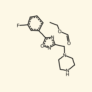 CCOC=O.Fc1cccc(-c2nc(CN3CCNCC3)no2)c1